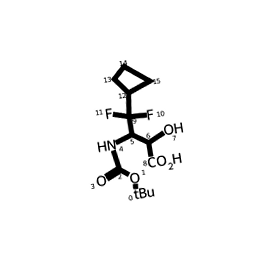 CC(C)(C)OC(=O)NC(C(O)C(=O)O)C(F)(F)C1CCC1